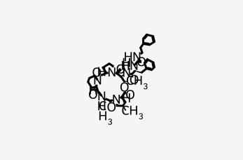 C[C@@H]1C[C@H]2C(=O)O[C@@H](C)[C@H](NC(=O)[C@H](Cc3ccccc3)NC(=O)NCCc3ccccc3)C(=O)N3CCC[C@H]3C(=O)N3CCCC[C@H]3C(=O)N[C@@H](C)C(=O)N2C1